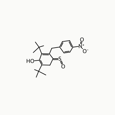 CC(C)(C)C1=C(O)C(C(C)(C)C)=C(Cc2ccc([N+](=O)[O-])cc2)C(=S=O)C1